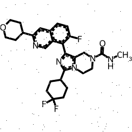 CNC(=O)N1CCn2c(C3CCC(F)(F)CC3)nc(-c3c(F)ccc4cc(C5CCOCC5)ncc34)c2C1